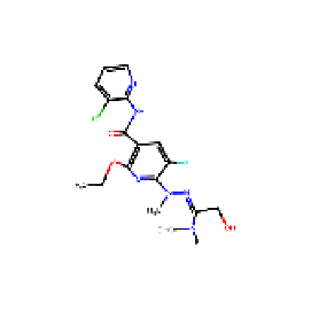 CCN(C=O)/C(CO)=N\N(C)c1nc(OCC(F)(F)F)c(C(=O)Nc2ncccc2Cl)cc1F